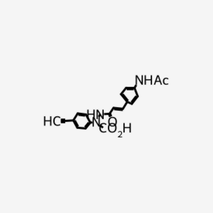 C#Cc1ccc(N(NC(=O)C=Cc2ccc(NC(C)=O)cc2)C(=O)O)cc1